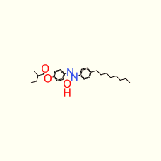 CCCCCCCCc1ccc(/N=N/c2ccc(OC(=O)C(C)CC)cc2O)cc1